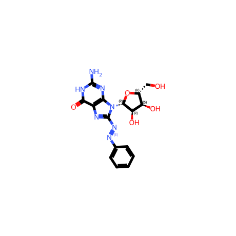 Nc1nc2c(nc(/N=N/c3ccccc3)n2[C@@H]2O[C@H](CO)[C@@H](O)[C@H]2O)c(=O)[nH]1